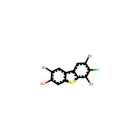 CCc1cc2c(cc1O)sc1c(CC)c(Cl)c(CC)cc12